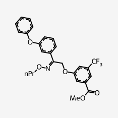 CCCON=C(COc1cc(C(=O)OC)cc(C(F)(F)F)c1)c1cccc(Oc2ccccc2)c1